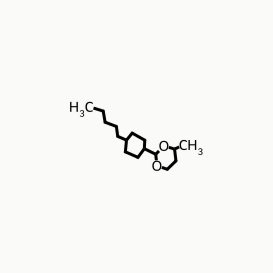 CCCCCC1CCC(C2OCCC(C)O2)CC1